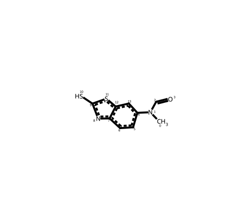 CN(C=O)c1ccc2nc(S)sc2c1